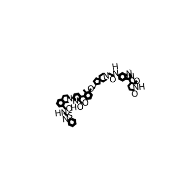 Cc1c(OC[C@H]2CCC3(CCN(CC(=O)Nc4ccc5c(C6CCC(=O)NC6=O)nn(C)c5c4)CC3)C2)cccc1-c1ccc(N2CCc3cccc(C(=O)Nc4nc5ccccc5s4)c3C2)nc1C(=O)O